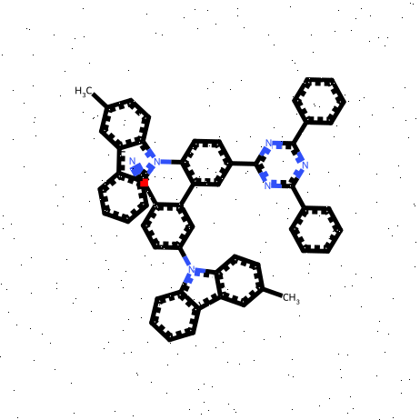 Cc1ccc2c(c1)c1ccccc1n2-c1ccc(C#N)c(-c2cc(-c3nc(-c4ccccc4)nc(-c4ccccc4)n3)ccc2-n2c3ccccc3c3cc(C)ccc32)c1